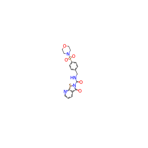 O=C(NCc1ccc(S(=O)(=O)N2CCOCC2)cc1)n1sc2ncccc2c1=O